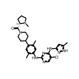 Cc1cc(Nc2nc(Nc3cc(C)c(C4CCN(C(=O)[C@@H]5CCCN5C)CC4)cc3C)ncc2Cl)n[nH]1